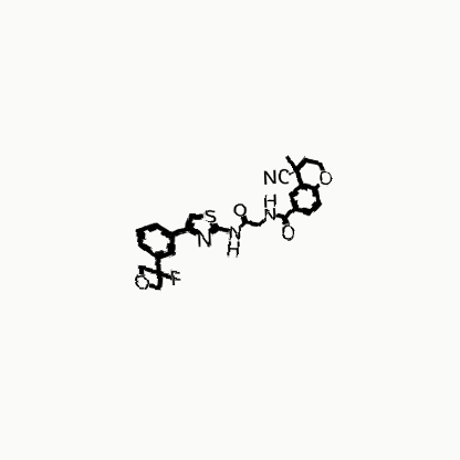 C[C@@]1(C#N)CCOc2ccc(C(=O)NCC(=O)Nc3nc(-c4cccc(C5(F)COC5)c4)cs3)cc21